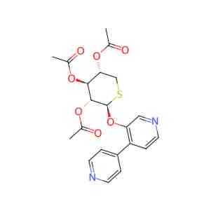 CC(=O)O[C@@H]1[C@@H](OC(C)=O)[C@H](OC(C)=O)CS[C@H]1Oc1cnccc1-c1ccncc1